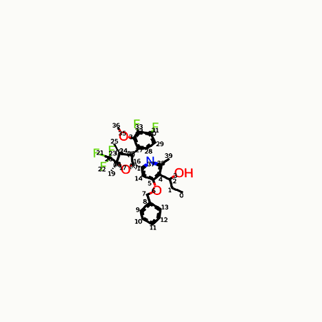 CCC(O)c1c(OCc2ccccc2)cc([C@@H]2O[C@@](C)(C(F)(F)F)[C@@H](C)[C@H]2c2ccc(F)c(F)c2OC)nc1C